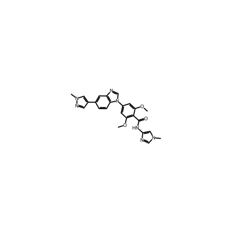 COc1cc(-n2cnc3cc(-c4cnn(C)c4)ccc32)cc(OC)c1C(=O)Nc1cn(C)cn1